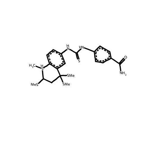 CSC1CC(SC)(SC)c2cc(NC(=S)Nc3ccc(C(N)=O)cc3)ccc2[SH]1C